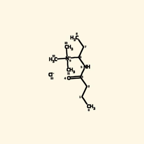 CCCC(=O)NC(CC)[N+](C)(C)C.[Cl-]